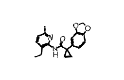 CCc1ccc(C)nc1NC(=O)C1(c2ccc3c(c2)OCO3)CC1